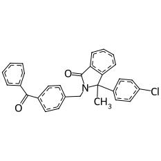 CC1(c2ccc(Cl)cc2)c2ccccc2C(=O)N1Cc1ccc(C(=O)c2ccccc2)cc1